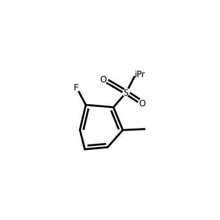 Cc1cccc(F)c1S(=O)(=O)C(C)C